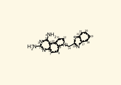 Nc1nc(N)c2c(ccc3c2ccn3Cc2nc3ccccc3s2)n1